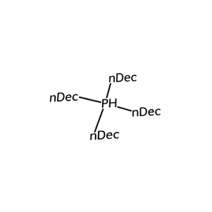 CCCCCCCCCC[PH](CCCCCCCCCC)(CCCCCCCCCC)CCCCCCCCCC